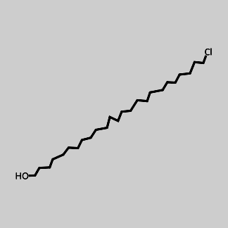 OCCCCCCCCCCCCCCCCCCCCCCCCCCl